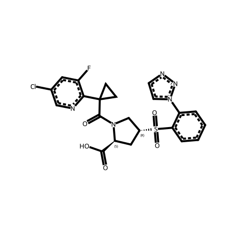 O=C(O)[C@@H]1C[C@@H](S(=O)(=O)c2ccccc2-n2ccnn2)CN1C(=O)C1(c2ncc(Cl)cc2F)CC1